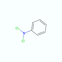 Cl[N+](Cl)c1ccccc1